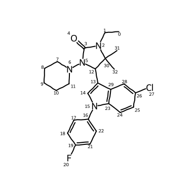 CCN1C(=O)N(N2CCCCC2)C(c2cn(-c3ccc(F)cc3)c3ccc(Cl)cc23)C1(C)C